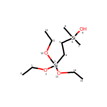 CCO[Si](CC[Si](C)(C)O)(OCC)OCC